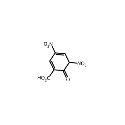 O=C(O)C1=CC([N+](=O)[O-])=CC([N+](=O)[O-])C1=O